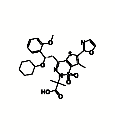 COc1ccccc1[C@H](CC1=NN(C(C)(C)C(=O)O)S(=O)(=O)c2c1sc(-c1ncco1)c2C)OC1CCCCC1